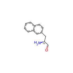 N[C@H](C=O)Cc1ccc2ccccc2c1